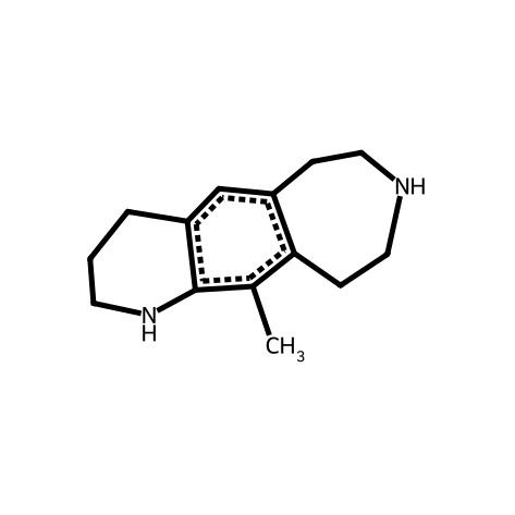 Cc1c2c(cc3c1NCCC3)CCNCC2